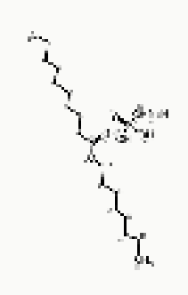 CCCCCCCCCC(=O)OCCCCCCCC.O=P(O)(O)O.[NaH]